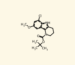 COc1cc(Cl)c2[nH]c3c(c2c1)N(C(=O)OC(C)(C)C)CCC3